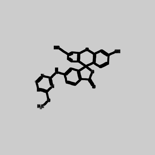 COc1n[c]nc(Nc2ccc3c(c2)C2(OC3=O)c3ccc(O)cc3Oc3cc(O)ccc32)n1